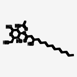 CCCCCCCCCCC[C@@H](O)CC(=O)O[C@H]1[C@H](O)[C@@H](CO)OC(O)[C@@H]1NC(C)=O